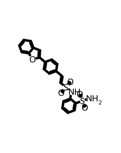 NS(=O)(=O)c1ccccc1NS(=O)(=O)C=Cc1ccc(-c2cc3ccccc3o2)cc1